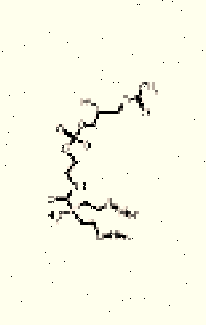 CC(=O)OC[C@@H](O)COP(=O)([O-])OCCNC(=O)[N+](C)(CCN=[N+]=[N-])CCN=[N+]=[N-]